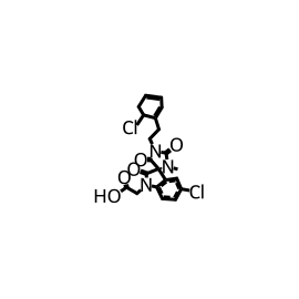 CN1C(=O)N(CCC2=CC=CCC2Cl)C(=O)[C@@]12C(=O)N(CC(=O)O)c1ccc(Cl)cc12